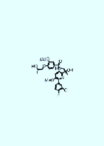 COc1cc(C(=O)NCC(C)(O)c2ccc(OC)c(-c3ccc(F)c(Cl)c3)n2)ccc1OC[C@@H](C)O